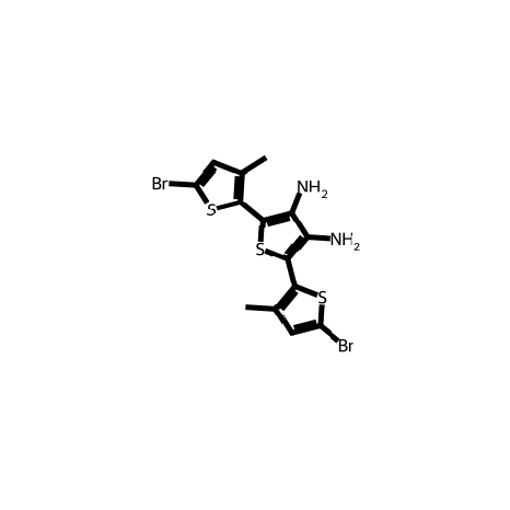 Cc1cc(Br)sc1-c1sc(-c2sc(Br)cc2C)c(N)c1N